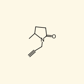 C#CCN1C(=O)CCC1C